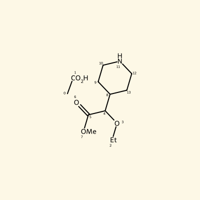 CC(=O)O.CCOC(C(=O)OC)C1CCNCC1